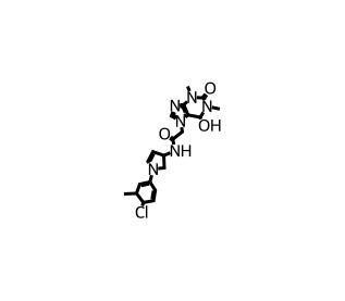 CC1C=C(N2C=CC(NC(=O)Cn3cnc4c3C(O)N(C)C(=O)N4C)C2)C=CC1Cl